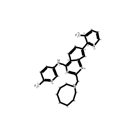 FC(F)(F)c1ccc(Nc2nc(CN3CCCCCCC3)nc3cc(-c4ncccc4C(F)(F)F)ccc23)cn1